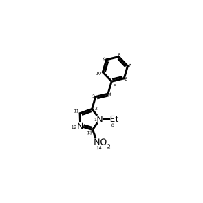 CCn1c(/C=C/c2ccccc2)cnc1[N+](=O)[O-]